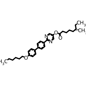 CCCCCCOc1ccc(-c2ccc(-c3ncc(OC(=O)CCCC[C@@H](C)CC)cn3)cc2)cc1